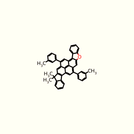 Cc1cccc(-c2cc3c4c(cc5c(-c6cccc(C)c6)cc6c7c(cc2c6c53)C(C)(C)c2ccccc2-7)oc2ccccc24)c1